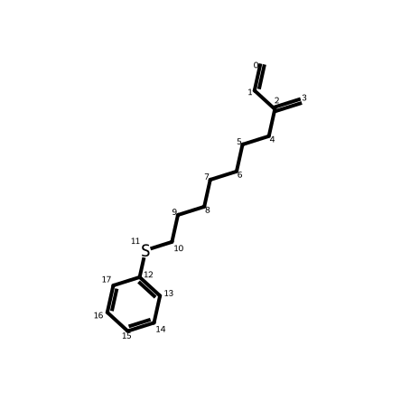 C=CC(=C)CCCCCCCSc1ccccc1